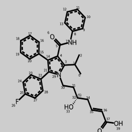 CC(C)c1c(C(=O)Nc2ccccc2)c(-c2ccccc2)c(-c2ccc(F)cc2)n1CC[C@@H](O)CC=CC(=O)O